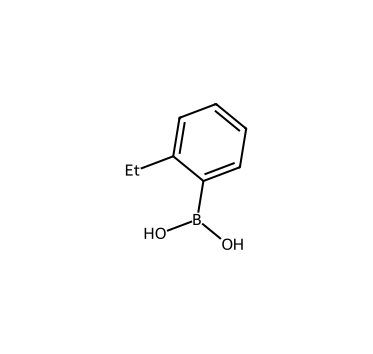 [CH2]Cc1ccccc1B(O)O